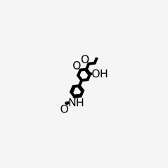 CCC(=O)C1=C(O)CC(c2ccc(NC=O)cc2)CC1=O